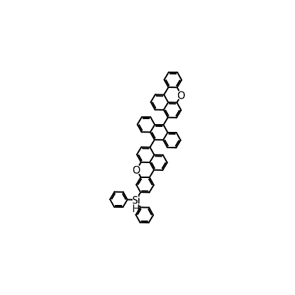 c1ccc([SiH](c2ccccc2)c2ccc3c(c2)Oc2ccc(-c4c5ccccc5c(-c5ccc6c7c(cccc57)-c5ccccc5O6)c5ccccc45)c4cccc-3c24)cc1